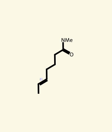 C/C=C/CCCC(=O)NC